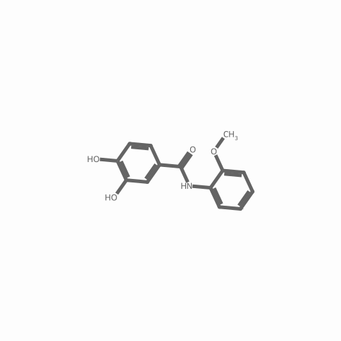 COc1cc[c]cc1NC(=O)c1ccc(O)c(O)c1